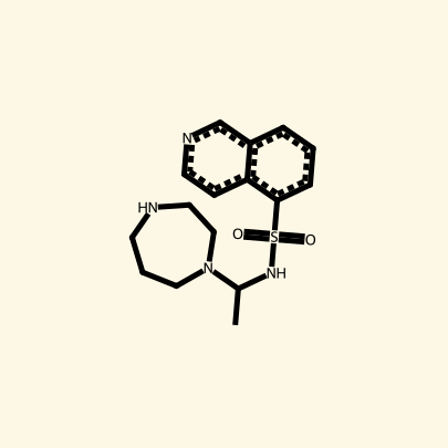 CC(NS(=O)(=O)c1cccc2cnccc12)N1CCCNCC1